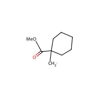 [CH2]C1(C(=O)OC)CCCCC1